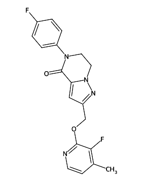 Cc1ccnc(OCc2cc3n(n2)CCN(c2ccc(F)cc2)C3=O)c1F